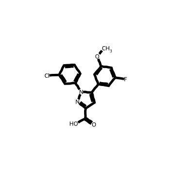 COc1cc(F)cc(-c2cc(C(=O)O)nn2-c2cccc(Cl)c2)c1